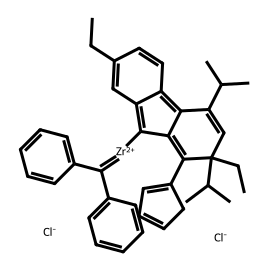 CCc1ccc2c(c1)=[C]([Zr+2]=[C](c1ccccc1)c1ccccc1)C1=C(C3=CC=CC3)C(CC)(C(C)C)C=C(C(C)C)C=21.[Cl-].[Cl-]